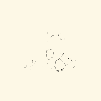 CN(C)CCC(Oc1ccc([N+](=O)[O-])c(C(F)(F)F)c1)c1ccc(Cl)cc1.O=C(O)C(=O)O